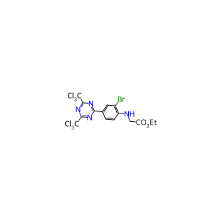 CCOC(=O)CNc1ccc(-c2nc(C(Cl)(Cl)Cl)nc(C(Cl)(Cl)Cl)n2)cc1Br